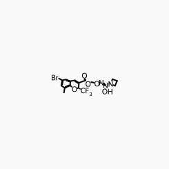 Cc1cc(Br)cc2c1O[C@H](C(F)(F)F)C(C(=O)OCO/N=[N+](\O)N1CCC1)=C2